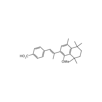 COc1c(/C(C)=C/c2ccc(C(=O)O)cc2)cc(C)c2c1C(C)(C)CCC2(C)C